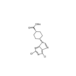 COC(=O)[C@H]1CC[C@@H](n2cnc3c(Cl)nc(Cl)nc32)CC1